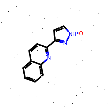 [O-][NH+]1C=CC(c2ccc3ccccc3n2)=N1